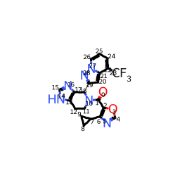 O=C(c1ocnc1C1CC1)N1CCc2[nH]cnc2[C@@H]1c1cc2c(C(F)(F)F)cccn2n1